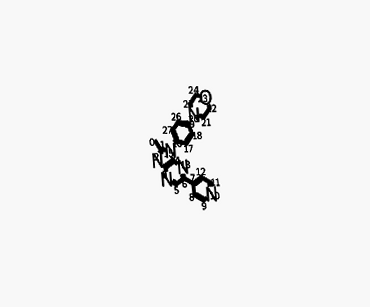 Cc1nc2ncc(-c3ccncc3)nc2n1-c1ccc(N2CCOCC2)cc1